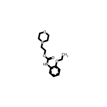 CCOc1ccccc1NC(=O)OCCN1CCOCC1